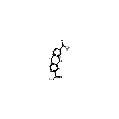 O=C(O)c1ccc2c(c1)Nc1cc(C(=O)O)ccc1C2